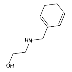 OCCNCC1=CCCC=C1